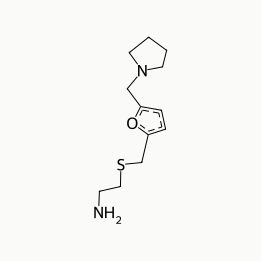 NCCSCc1ccc(CN2CCCC2)o1